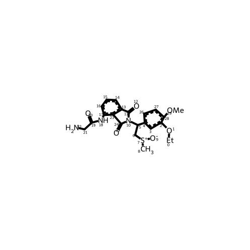 CCOc1cc(C(C[S+](C)[O-])N2C(=O)c3cccc(NC(=O)CN)c3C2=O)ccc1OC